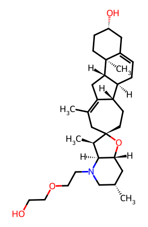 CC1=C2C[C@H]3[C@@H](CC=C4C[C@@H](O)CC[C@@]43C)[C@@H]2CC[C@@]2(C1)O[C@@H]1C[C@H](C)CN(CCOCCO)[C@H]1[C@H]2C